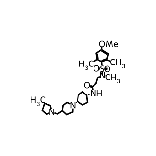 COc1cc(C)c(S(=O)(=O)N(C)CCC(=O)N[C@H]2CC[C@@H](N3CCC(CN4CCC(C)C4)CC3)CC2)c(C)c1